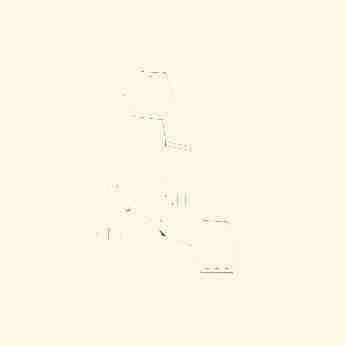 O=C(CN[C@@H](Cc1ccccc1)C(=O)Cl)c1ccccc1